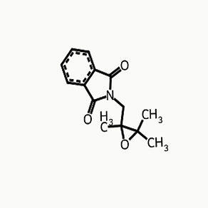 CC1(C)OC1(C)CN1C(=O)c2ccccc2C1=O